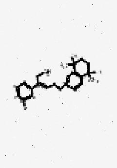 CC1(C)CCC(C)(C)c2cc(CC/C=C(\CO)c3cccc(Br)c3)ccc21